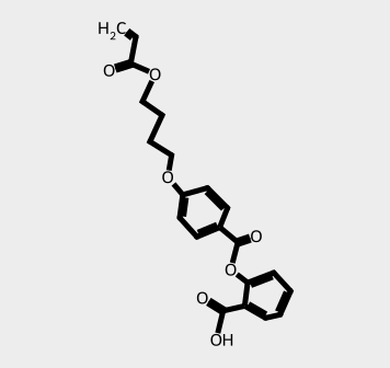 C=CC(=O)OCCCCOc1ccc(C(=O)Oc2ccccc2C(=O)O)cc1